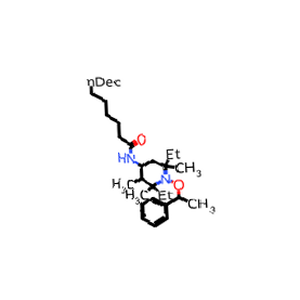 CCCCCCCCCCCCCCCC(=O)NC1CC(C)(CC)N(OC(C)c2ccccc2)C(C)(CC)C1C